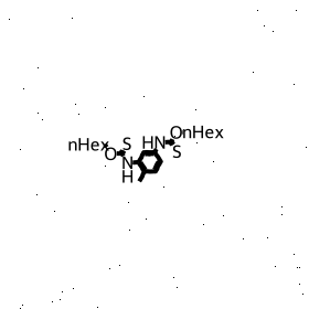 CCCCCCOC(=S)Nc1ccc(C)c(NC(=S)OCCCCCC)c1